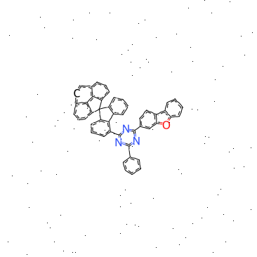 c1ccc(-c2nc(-c3ccc4c(c3)oc3ccccc34)nc(-c3cccc4c3-c3ccccc3C43c4cccc5ccc6cccc3c6c45)n2)cc1